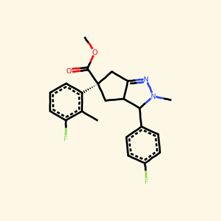 COC(=O)[C@@]1(c2cccc(F)c2C)CC2=NN(C)C(c3ccc(F)cc3)C2C1